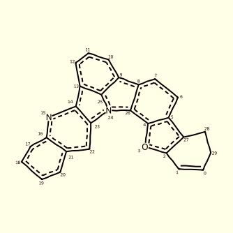 C1=Cc2oc3c(ccc4c5cccc6c7nc8ccccc8cc7n(c56)c43)c2CC1